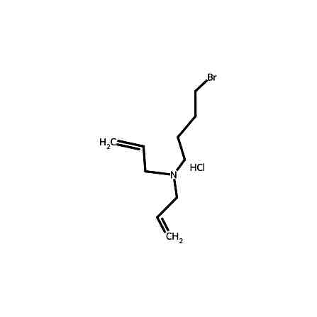 C=CCN(CC=C)CCCCBr.Cl